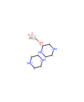 C1CNCCN1.C1CNCCN1.O.O=S(=O)(O)O